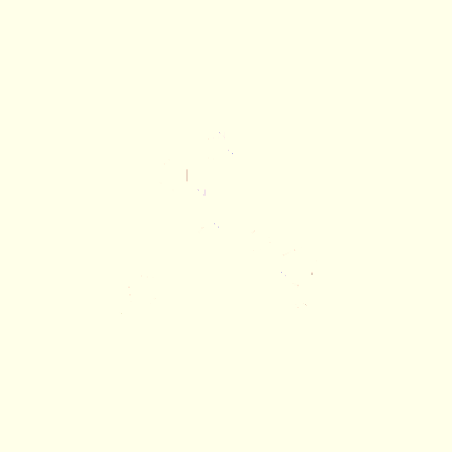 CC[C@H](C)[C@H](NC(=O)c1ccc(CNC(=O)c2[nH]c3c(-c4c(C)nn(C)c4C)cccc3c2CCCOc2cc(C)c(Cl)c(C)c2)o1)C(=O)OC